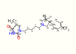 Cc1cn(CCCCCN2C[C@@H]3C[C@]3([C@H]3C=CC(C(F)(F)F)=CC3)C2)c(=O)[nH]c1=O